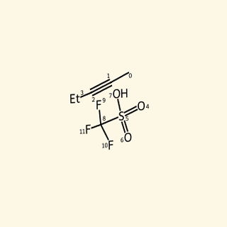 CC#CCC.O=S(=O)(O)C(F)(F)F